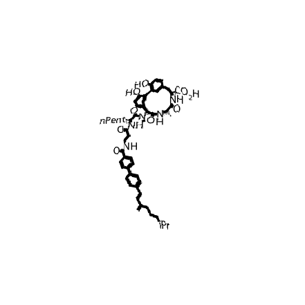 CCCCC[C@H](NC(=O)CCNC(=O)c1ccc(-c2ccc(CCC(C)CCCC(C)C)cc2)cc1)C(=O)N(C)[C@@H]1C(=O)N[C@@H](C)C(=O)N[C@H](C(=O)O)Cc2ccc(O)c(c2)-c2cc1ccc2O